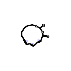 CCC1CCCCCC/C=C/C=C/C=C/C(=O)O1